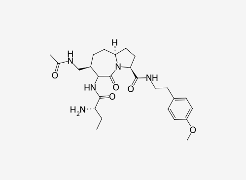 CC[C@H](N)C(=O)NC1C(=O)N2[C@@H](CC[C@@H]1CNC(C)=O)CC[C@H]2C(=O)NCCc1ccc(OC)cc1